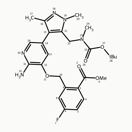 COC(=O)c1ccc(F)cc1COc1cc(-c2c(C)nn(C)c2CN(C)C(=O)OC(C)(C)C)cnc1N